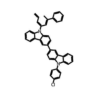 C=C/C=C(\C=C(/C)c1ccccc1)n1c2ccccc2c2cc(-c3ccc4c(c3)c3ccccc3n4-c3ccc(Cl)cc3)ccc21